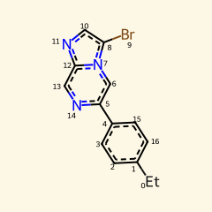 CCc1ccc(-c2cn3c(Br)cnc3cn2)cc1